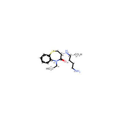 NCCC[C@H](N[C@H]1CSc2ccccc2N(CC(=O)O)C1=O)C(=O)O